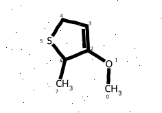 COC1=CCSC1C